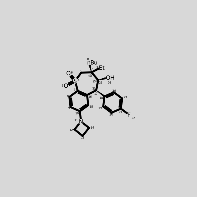 CCCC[C@]1(CC)CS(=O)(=O)c2ccc(N3CCC3)cc2[C@H](c2ccc(F)cc2)[C@@H]1O